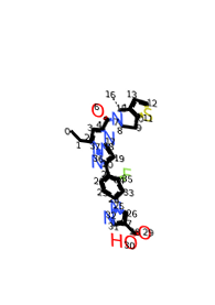 CCc1cc(C(=O)N2CCc3sccc3[C@H]2C)nc2cc(-c3ccc(-n4cc(C(=O)O)cn4)cc3F)nn12